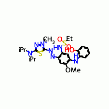 CCS(=O)(=O)Nc1cc(Nc2ccccc2O)c(OC)cc1/N=N/c1sc(N(C(C)C)C(C)C)n[n+]1C